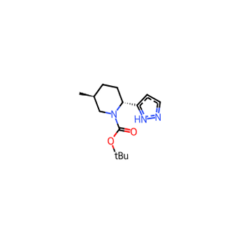 C[C@H]1CC[C@H](c2ccn[nH]2)N(C(=O)OC(C)(C)C)C1